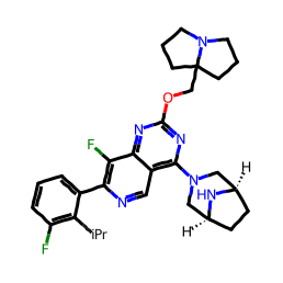 CC(C)c1c(F)cccc1-c1ncc2c(N3C[C@H]4CC[C@@H](C3)N4)nc(OCC34CCCN3CCC4)nc2c1F